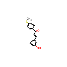 CSc1ccc(C(=O)C=Cc2cccc(O)c2)cc1